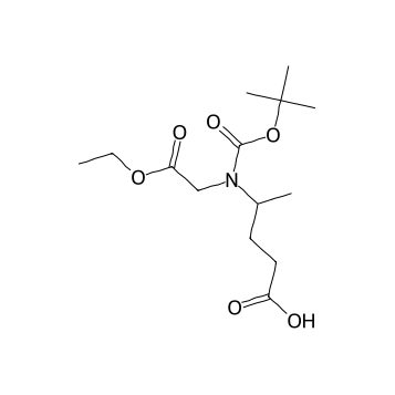 CCOC(=O)CN(C(=O)OC(C)(C)C)C(C)CCC(=O)O